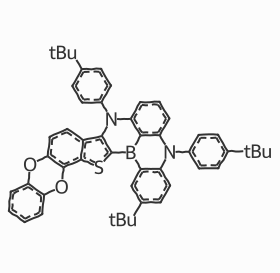 CC(C)(C)c1ccc(N2c3ccc(C(C)(C)C)cc3B3c4sc5c6c(ccc5c4N(c4ccc(C(C)(C)C)cc4)c4cccc2c43)Oc2ccccc2O6)cc1